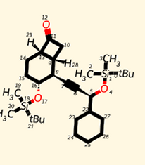 CC(C)(C)[Si](C)(C)O[C@H](C#C[C@@H]1[C@H]2CC(=O)[C@H]2CC[C@H]1O[Si](C)(C)C(C)(C)C)C1CCCCC1